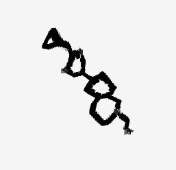 C[C](C)CN1CCc2cc(-c3cnc(C4CC4)nc3)ccc2C1